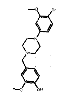 COc1cc(CN2CCN(c3ccc(Br)c(OC)c3)CC2)ccc1O